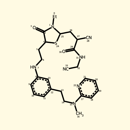 CCN1C(=O)C(CCNc2cccc(CCN(C)c3ccccn3)c2)SC1CC(C#N)C(=O)NCC#N